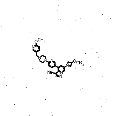 COc1ccc(CN2CCN(c3ccc(-c4cc(N5CC(OC)C5)cn5ncc(C#N)c45)cn3)CC2)cn1